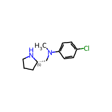 CN(C[C@@H]1CCCN1)c1ccc(Cl)cc1